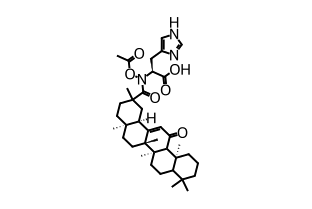 CC(=O)ON(C(=O)C1(C)CC[C@]2(C)CC[C@]3(C)C(=CC(=O)C4[C@@]5(C)CCCC(C)(C)C5CC[C@]43C)[C@@H]2C1)[C@@H](Cc1c[nH]cn1)C(=O)O